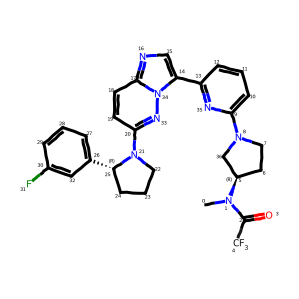 CN(C(=O)C(F)(F)F)[C@@H]1CCN(c2cccc(-c3cnc4ccc(N5CCC[C@@H]5c5cccc(F)c5)nn34)n2)C1